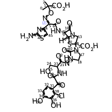 CC(C)(O/N=C(\C(=O)N[C@@H]1C(=O)N2C[C@@](C(=O)O)(N3CCN(NC(=O)C(CO)NC(=O)C(=O)c4ccc(O)c(O)c4Cl)C3=O)S[C@H]12)c1csc(N)n1)C(=O)O